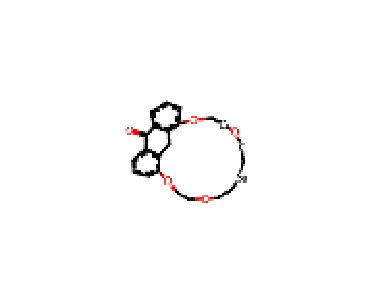 O=C1c2cccc3c2Cc2c(cccc21)OCCOCC[Se]CCOCCO3